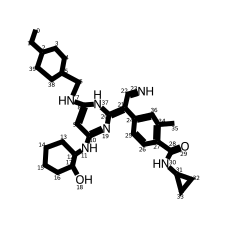 CCC1CCC(CNC2=CC(NC3CCCCC3O)=N/C(=C(/C=N)c3ccc(C(=O)NC4CC4)c(C)c3)N2)CC1